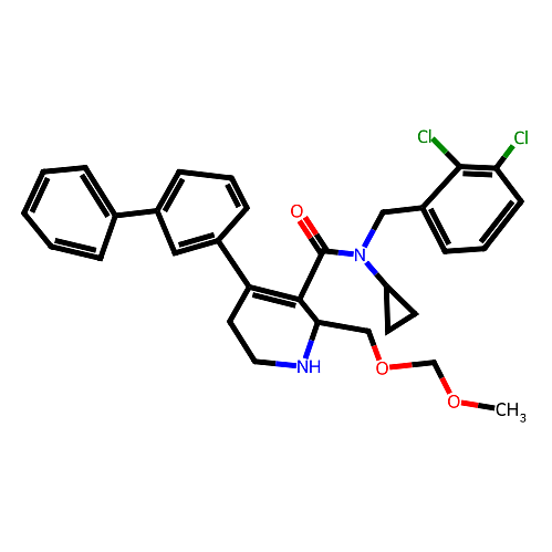 COCOCC1NCCC(c2cccc(-c3ccccc3)c2)=C1C(=O)N(Cc1cccc(Cl)c1Cl)C1CC1